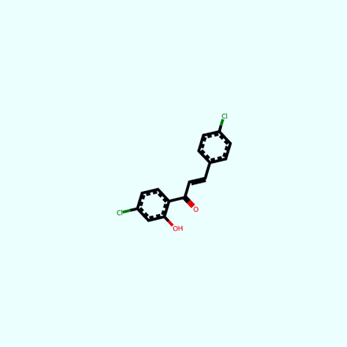 O=C(C=Cc1ccc(Cl)cc1)c1ccc(Cl)cc1O